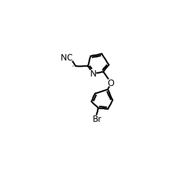 N#C[CH]c1cccc(Oc2ccc(Br)cc2)n1